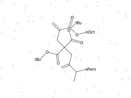 C=C(CC(CC(=C)C(C)CCCCC)(C(=O)OC(C)(C)C)C(=O)OC(C)(C)C)C(=O)OCCCCCCCC